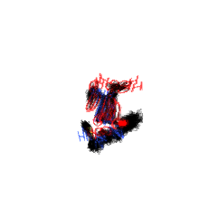 CNC(=O)CCN(CCOC12CC3(C)CC(C)(CC(Cn4ncc(-c5ccc(N6CCc7cccc(C(=O)Nc8nc9ccccc9s8)c7C6)nc5C(=O)O)c4C)(C3)C1)C2)C(=O)OCc1ccc(O[C@@H]2O[C@H](C(=O)O)[C@@H](O)[C@H](O)[C@H]2O)cc1OCCCNC(=O)CN1C(=O)C=CC1=O